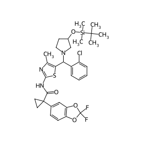 Cc1nc(NC(=O)C2(c3ccc4c(c3)OC(F)(F)O4)CC2)sc1C(c1ccccc1Cl)N1CCC(O[Si](C)(C)C(C)(C)C)C1